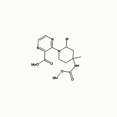 COC(=O)c1nccnc1N1CCC(C)(NC(=O)OC(C)(C)C)CC1Br